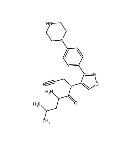 CC(C)CC(N)C(=O)N(CC#N)c1conc1-c1ccc(N2CCNCC2)cc1